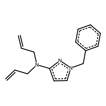 C=CCN(CC=C)c1ccn(Cc2ccccc2)n1